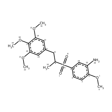 COc1ccc(S(=O)(=O)C(C)Cc2cc(OC)c(OC)c(OC)c2)cc1N